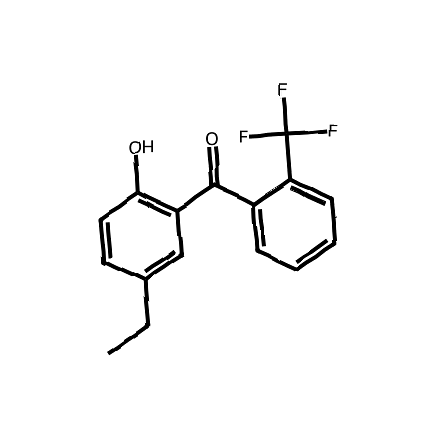 CCc1ccc(O)c(C(=O)c2ccccc2C(F)(F)F)c1